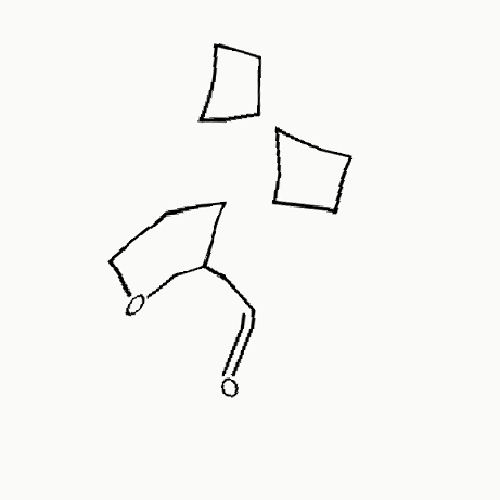 C1CCC1.C1CCC1.O=CC1CCCO1